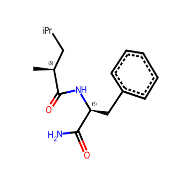 CC(C)C[C@H](C)C(=O)N[C@@H](Cc1ccccc1)C(N)=O